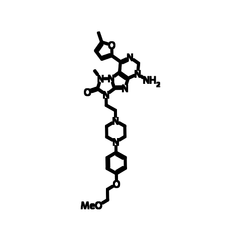 COCCOc1ccc(N2CCN(CCn3c(=O)n(C)n4c5c(nc34)N(N)CN=C5c3ccc(C)o3)CC2)cc1